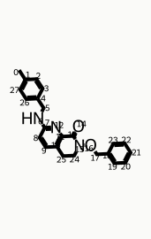 Cc1ccc(CNc2ccc3c(n2)C(=O)N(OCc2ccccc2)CC3)cc1